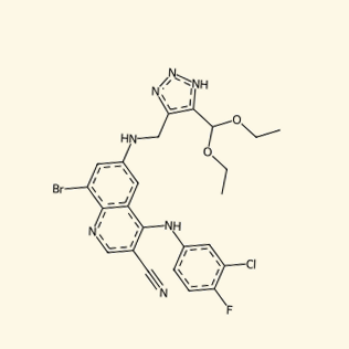 CCOC(OCC)c1[nH]nnc1CNc1cc(Br)c2ncc(C#N)c(Nc3ccc(F)c(Cl)c3)c2c1